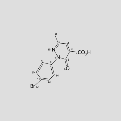 Cc1cc(C(=O)O)c(=O)n(-c2ccc(Br)cc2)n1